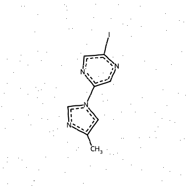 Cc1cn(-c2cnc(I)cn2)cn1